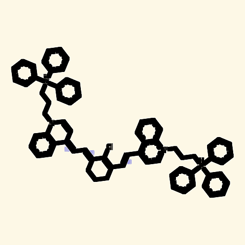 ClC1=C(/C=C/c2cc[n+](CCC[PH](c3ccccc3)(c3ccccc3)c3ccccc3)c3ccccc23)CCC/C1=C\C=C1/C=CN(CCC[PH](c2ccccc2)(c2ccccc2)c2ccccc2)c2ccccc21